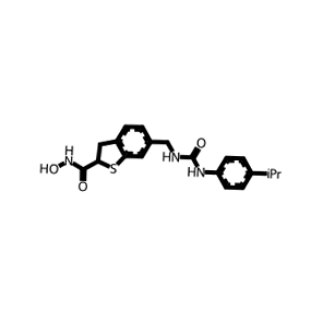 CC(C)c1ccc(NC(=O)NCc2ccc3c(c2)SC(C(=O)NO)C3)cc1